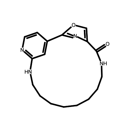 O=C1NCCCCCCCCNc2cc(ccn2)-c2nc1co2